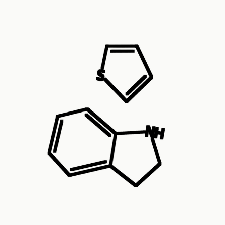 c1ccc2c(c1)CCN2.c1ccsc1